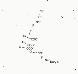 O=C([O-])[O-].O=C([O-])[O-].O=C([O-])[O-].O=C([O-])[O-].[F-].[F-].[F-].[F-].[Na+].[Na+].[Na+].[Y+3].[Y+3].[Y+3]